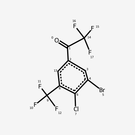 O=C(c1cc(Br)c(Cl)c(C(F)(F)F)c1)C(F)(F)F